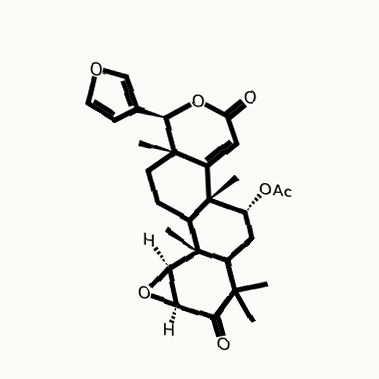 CC(=O)O[C@@H]1CC2C(C)(C)C(=O)[C@H]3O[C@H]3[C@]2(C)C2CC[C@@]3(C)C(=CC(=O)O[C@@H]3c3ccoc3)[C@@]21C